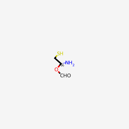 N[C@@H](CS)OC=O